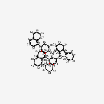 c1ccc(N(c2ccc(-c3cccc4ccccc34)cc2)c2cccc3c2sc2ccccc23)c(-c2cccc3cccc(C4CCCCC4)c23)c1